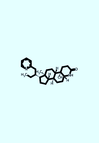 CCC(Cc1ccccn1)[C@H]1CC[C@H]2[C@@H]3CC[C@H]4NC(=O)CC[C@]4(C)[C@H]3CC[C@]12C